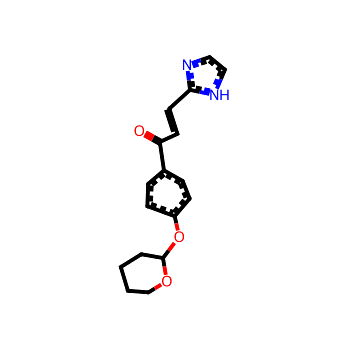 O=C(/C=C/c1ncc[nH]1)c1ccc(OC2CCCCO2)cc1